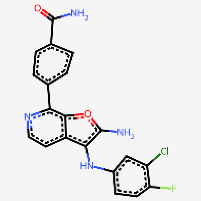 NC(=O)c1ccc(-c2nccc3c(Nc4ccc(F)c(Cl)c4)c(N)oc23)cc1